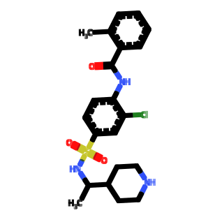 Cc1ccccc1C(=O)Nc1ccc(S(=O)(=O)NC(C)C2CCNCC2)cc1Cl